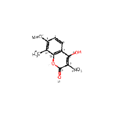 COc1ccc2c(O)c([N+](=O)[O-])c(=O)oc2c1C